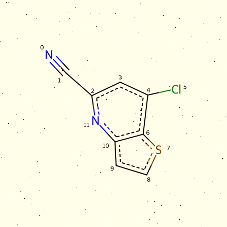 N#Cc1cc(Cl)c2sccc2n1